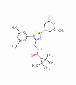 Cc1cc(-c2sc(N3C[C@@H](C)O[C@@H](C)C3)nc2CNC(=O)C2C(C)(C)C2(C)C)cc(C)n1